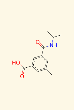 Cc1cc(C(=O)O)cc(C(=O)NC(C)C)c1